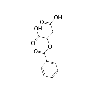 O=C(O)CC(OC(=O)c1ccccc1)C(=O)O